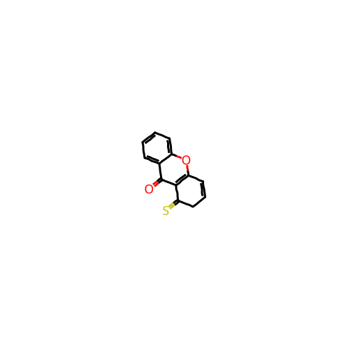 O=c1c2c(oc3ccccc13)C=CCC2=S